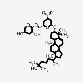 C[C@H](CCCC(C)(C)O)C1CCC2C3CC=C4C(CC[C@H](O[C@H]5C[C@@H]([N+](=O)[O-])C[C@@H](CO[C@H]6OC[C@@H](O)C[C@H]6O)O5)C4(C)C)[C@]3(C)CC[C@@]21C